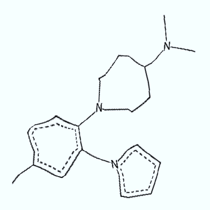 Cc1ccc(N2CCC(N(C)C)CC2)c(-n2cccc2)c1